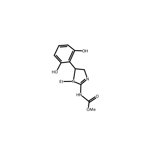 CCN1C(NC(=O)OC)=NCC1c1c(O)cccc1O